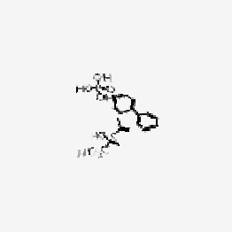 C=C(C)C(=O)O.C=C(C)C(=O)O.O=P(O)(O)O.c1ccc(-c2ccccc2)cc1